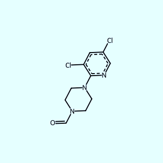 O=CN1CCN(c2ncc(Cl)cc2Cl)CC1